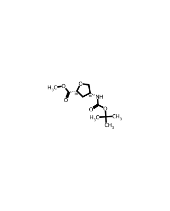 COC(=O)[C@H]1C[C@@H](NC(=O)OC(C)(C)C)CO1